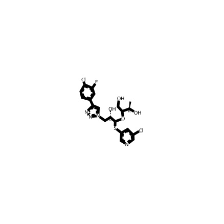 C[C@@H](O)C(CO)OC(Sc1cncc(Cl)c1)[C@@H](O)Cn1cc(-c2ccc(Cl)c(F)c2)nn1